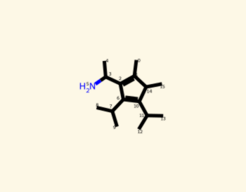 CC1=C(C(C)N)C(C(C)C)=C(C(C)C)C1C